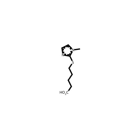 Cn1ccnc1SCCCCC(=O)O